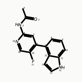 CC(=O)Nc1cc(-c2cccc3[nH]ccc23)c(F)cn1